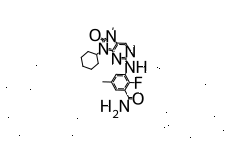 Cc1cc(Nc2ncc3c(n2)n(C2CCCCC2)c(=O)n3C)c(F)c(C(N)=O)c1